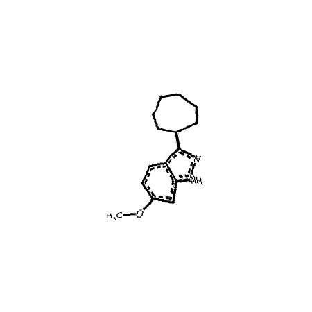 COc1ccc2c(C3CCCCCC3)n[nH]c2c1